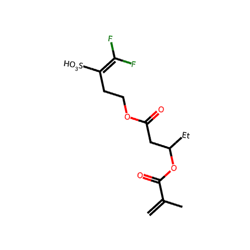 C=C(C)C(=O)OC(CC)CC(=O)OCCC(=C(F)F)S(=O)(=O)O